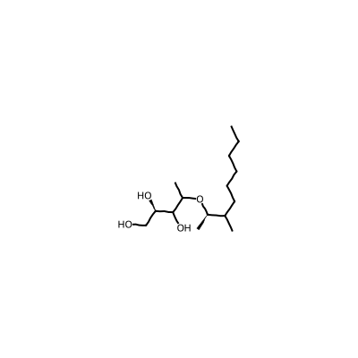 CCCCCCC(C)[C@@H](C)OC(C)C(O)[C@H](O)CO